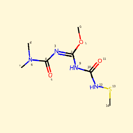 COC(=NC(=O)N(C)C)NC(=O)NSC